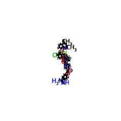 Cc1cc(C)c2cccc(OCc3c(Cl)ccc(S(=O)(=O)N4CCC[C@H]4C(=O)N4CCN(C(=O)COc5ccc(C(=N)N)cc5)CC4)c3Cl)c2n1